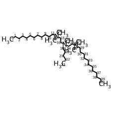 CCCCCCCCCCCC[N+](C)(C)CC[N+](C)(CCCCC)CC[N+](C)(C)CCCCCCCCCCCC